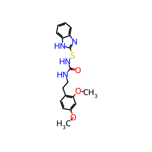 COc1ccc(CCNC(=O)NSc2nc3ccccc3[nH]2)c(OC)c1